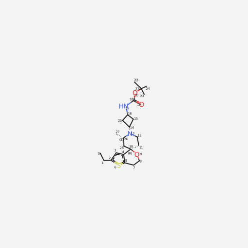 CCc1cc2c(s1)CCO[C@@]21CCN([C@H]2C[C@H](NC(=O)OC(C)(C)C)C2)[C@@H](C)C1